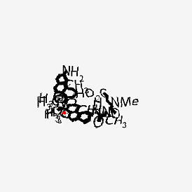 CN[C@@H](CCC(=O)O)C(=O)N[C@@H](C)C(=O)Nc1ccc2c(c1)[C@@]1(C)CCC[C@](C)(C(=O)N(C)C(=O)[C@@]3(C)CCC[C@]4(C)c5cc(N)ccc5CC[C@@H]34)[C@]1(C)CC2